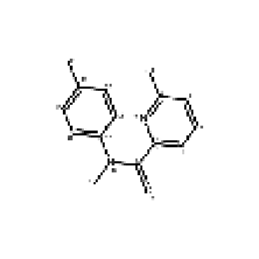 [CH2]c1cccc(C(=O)N(C)c2ccc(C)cc2)n1